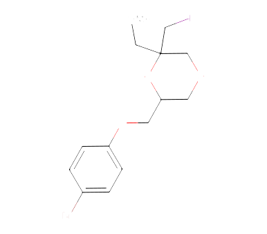 COCC1(CI)COCC(COc2ccc(Br)cc2)O1